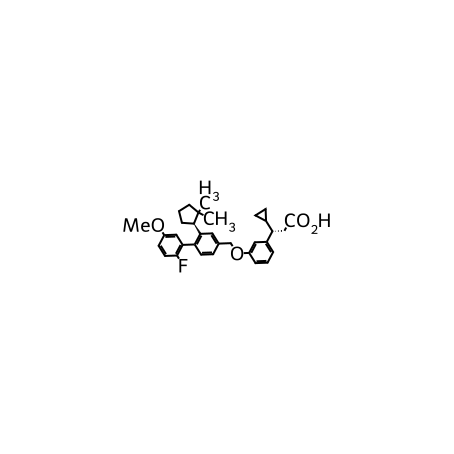 COc1ccc(F)c(-c2ccc(COc3cccc([C@@H](CC(=O)O)C4CC4)c3)cc2[C@H]2CCCC2(C)C)c1